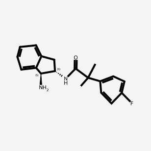 CC(C)(C(=O)N[C@H]1Cc2ccccc2[C@@H]1N)c1ccc(F)cc1